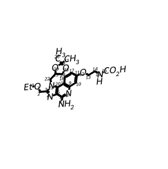 CCOCc1nc2c(N)nc3cc(OCCNC(=O)O)ccc3c2n1CC1COC(C)(C)O1